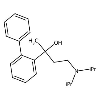 CC(C)N(CCC(C)(O)c1ccccc1-c1ccccc1)C(C)C